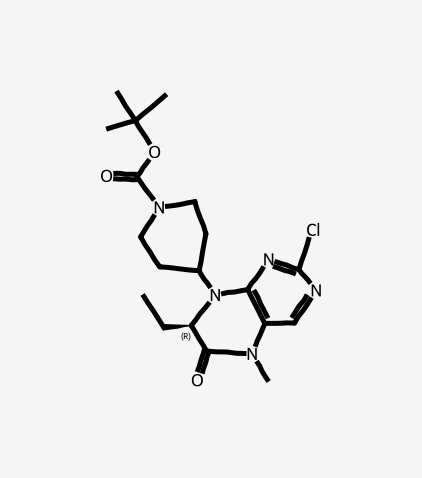 CC[C@@H]1C(=O)N(C)c2cnc(Cl)nc2N1C1CCN(C(=O)OC(C)(C)C)CC1